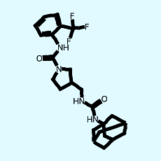 O=C(NCC1CCN(C(=O)Nc2ccccc2C(F)(F)F)C1)NC12CC3CC(CC(C3)C1)C2